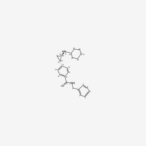 O=C(NCc1ccccc1)c1ccc([C@@H]2C[C@H]2NC2CCOCC2)cc1